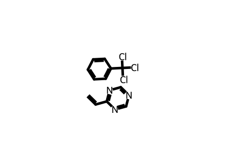 C=Cc1ncncn1.ClC(Cl)(Cl)c1ccccc1